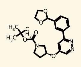 CC(C)(C)OC(=O)N1CC[C@H](Oc2cnnc(-c3cccc(C4OCCO4)c3)c2)C1